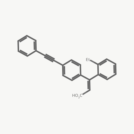 CCc1ccccc1C(=CC(=O)O)c1ccc(C#Cc2ccccc2)cc1